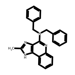 Cc1nc2c(N(Cc3ccccc3)Cc3ccccc3)nc3ccccc3c2[nH]1